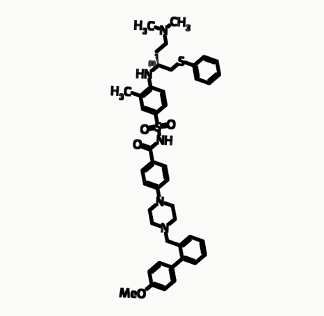 COc1ccc(-c2ccccc2CN2CCN(c3ccc(C(=O)NS(=O)(=O)c4ccc(N[C@H](CCN(C)C)CSc5ccccc5)c(C)c4)cc3)CC2)cc1